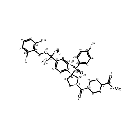 CNC(=O)C1CCN(C(=O)N2CC[C@](c3ccc(C(OCc4c(F)cccc4F)(C(F)(F)F)C(F)(F)F)cc3)(S(=O)(=O)c3ccc(F)cc3)C2)CC1